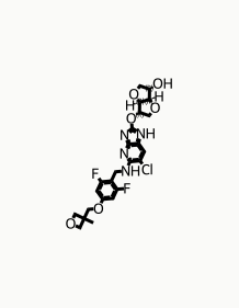 CC1(COc2cc(F)c(CNc3nc4nc(O[C@@H]5CO[C@H]6[C@@H]5OC[C@H]6O)[nH]c4cc3Cl)c(F)c2)COC1